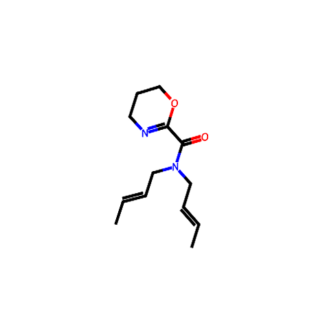 C/C=C/CN(C/C=C/C)C(=O)C1=NCCCO1